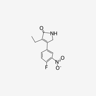 CCC1=C(c2ccc(F)c([N+](=O)[O-])c2)CNC1=O